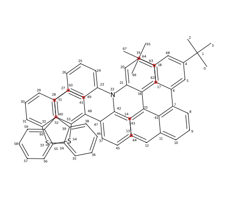 CC(C)(C)c1cc(-c2cccc3cccc(-c4ccccc4N(c4cccc(-c5cccc6sc7ccccc7c56)c4)c4ccccc4-c4cccc5c4sc4ccccc45)c23)cc(C(C)(C)C)c1